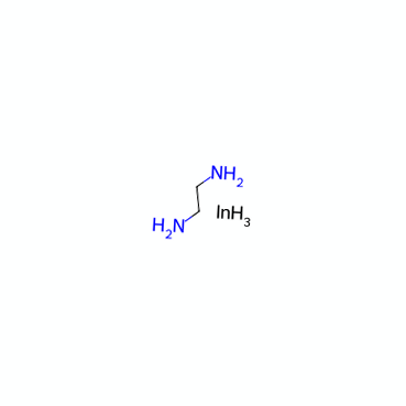 NCCN.[InH3]